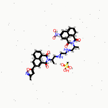 CS(=O)(=O)O.Cc1cc(-c2cc3c4c(cccc4c2)C(=O)N(C(C)CNCCNCC(C)N2C(=O)c4cccc5cc([N+](=O)[O-])cc(c45)C2=O)C3=O)on1